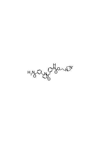 CN1CCN(CCCOC(=O)Nc2cccc(Cn3nc(-c4cccc(C(N)=O)c4)ccc3=O)c2)CC1